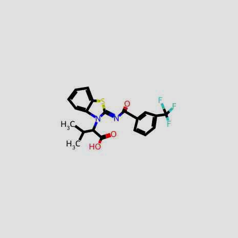 CC(C)C(C(=O)O)n1/c(=N/C(=O)c2cccc(C(F)(F)F)c2)sc2ccccc21